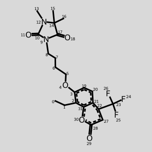 CCc1c(OCCCCN2C(=O)N(C)C(C)(C)C2=O)ccc2c(C(F)(F)F)cc(=O)oc12